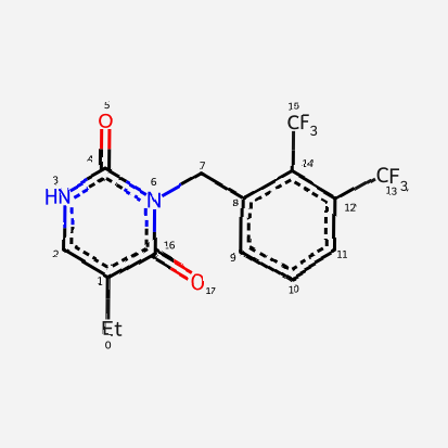 CCc1c[nH]c(=O)n(Cc2cccc(C(F)(F)F)c2C(F)(F)F)c1=O